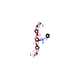 C=CC(=O)Oc1ccc(C(=O)Oc2ccc(OC(=O)c3ccc(OC(=O)C=C)cc3)c(/C=N/Nc3nc4ccccc4s3)c2)cc1